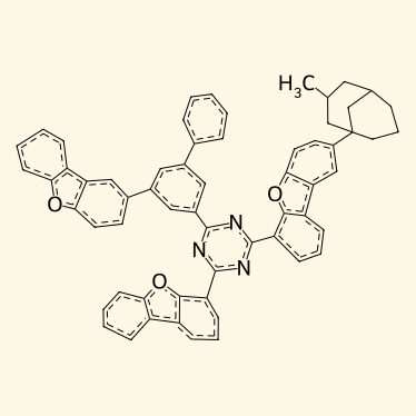 CC1CC2CCCC(c3ccc4oc5c(-c6nc(-c7cc(-c8ccccc8)cc(-c8ccc9oc%10ccccc%10c9c8)c7)nc(-c7cccc8c7oc7ccccc78)n6)cccc5c4c3)(C1)C2